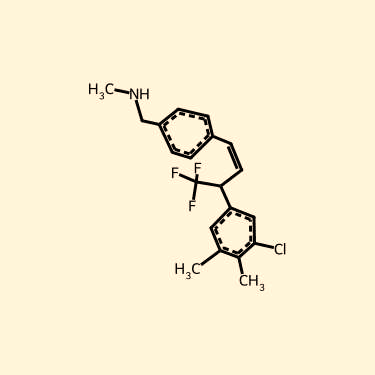 CNCc1ccc(/C=C\C(c2cc(C)c(C)c(Cl)c2)C(F)(F)F)cc1